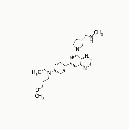 CCN(CCCOC)c1ccc(-c2cc3nccnc3c(N3CCC(CNC)C3)n2)cc1